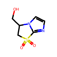 O=S1(=O)CC(CO)n2ccnc21